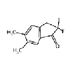 Cc1cc2c(cc1C)C(=O)C(F)(I)C2